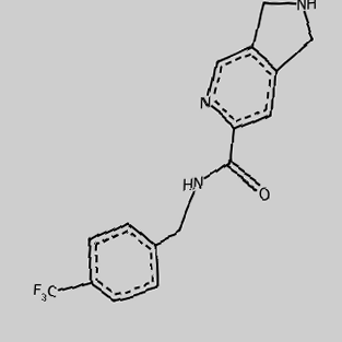 O=C(NCc1ccc(C(F)(F)F)cc1)c1cc2c(cn1)CNC2